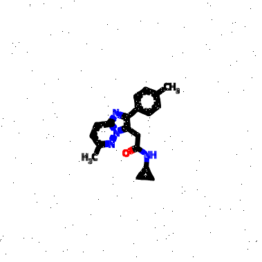 Cc1ccc(-c2nc3ccc(C)nn3c2CC(=O)NC2CC2)cc1